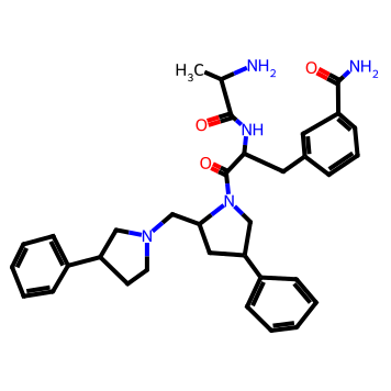 CC(N)C(=O)NC(Cc1cccc(C(N)=O)c1)C(=O)N1CC(c2ccccc2)CC1CN1CCC(c2ccccc2)C1